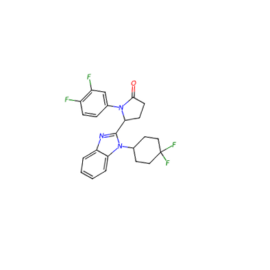 O=C1CCC(c2nc3ccccc3n2C2CCC(F)(F)CC2)N1c1ccc(F)c(F)c1